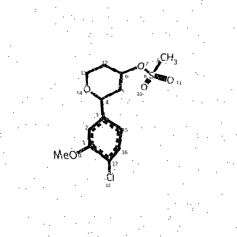 COc1cc(C2CC(OS(C)(=O)=O)CCO2)ccc1Cl